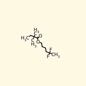 CCC(C)(C)C(=O)OCCCCC(C)(F)F